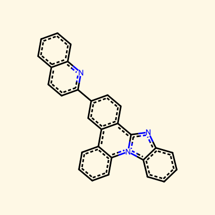 c1ccc2nc(-c3ccc4c(c3)c3ccccc3n3c5ccccc5nc43)ccc2c1